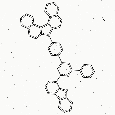 c1ccc(-c2cc(-c3ccc(-n4c5ccc6ccccc6c5c5c6ccccc6ccc54)cc3)cc(-c3cccc4c3oc3ccccc34)n2)cc1